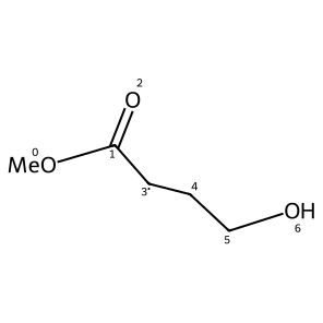 COC(=O)[CH]CCO